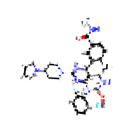 CNC(=O)c1ccc(C)c(-c2nc(N3CCC(N4CCCC4)CC3)nc3c2CNC(=O)N3c2c(F)cccc2F)c1